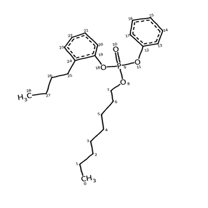 CCCCCCCCOP(=O)(Oc1ccccc1)Oc1ccccc1CCCC